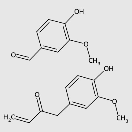 C=CC(=O)Cc1ccc(O)c(OC)c1.COc1cc(C=O)ccc1O